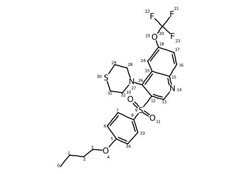 CCCCOc1ccc(S(=O)(=O)c2cnc3ccc(OC(F)(F)F)cc3c2N2CCSCC2)cc1